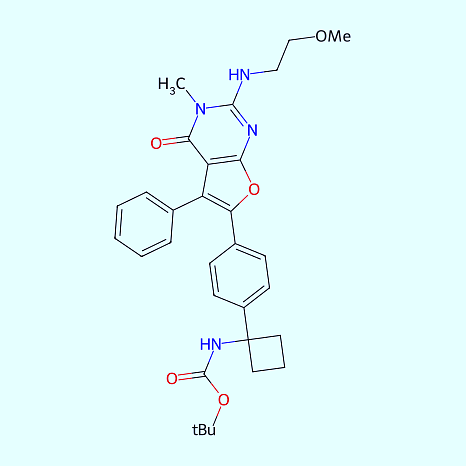 COCCNc1nc2oc(-c3ccc(C4(NC(=O)OC(C)(C)C)CCC4)cc3)c(-c3ccccc3)c2c(=O)n1C